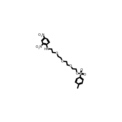 Cc1ccc(S(=O)(=O)OCCOCCOCCOCCNc2ccc([N+](=O)[O-])cc2[N+](=O)[O-])cc1